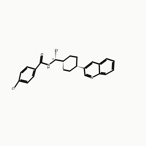 CC[C@@H](NC(=O)c1ccc(Cl)cc1)[C@H]1CC[C@@H](c2cnc3ccccc3c2)CC1